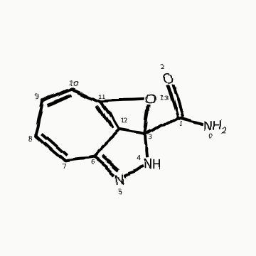 NC(=O)C12NN=C3C=CC=CC(=C31)O2